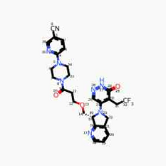 N#Cc1ccc(N2CCN(C(=O)CCOC[C@H]3c4ncccc4CN3c3cn[nH]c(=O)c3CC(F)(F)F)CC2)nc1